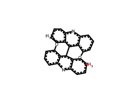 COc1cccc2nc3ccccc3c(-c3c4ccccc4nc4cccc(OC)c34)c12